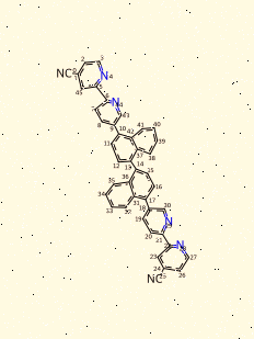 N#Cc1ccnc(-c2ccc(-c3ccc(-c4ccc(-c5ccc(-c6cc(C#N)ccn6)nc5)c5ccccc45)c4ccccc34)cn2)c1